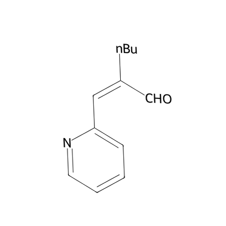 CCCCC(C=O)=Cc1ccccn1